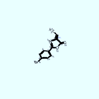 C/C=C1\N=C(c2ccc(Br)cc2)OC1=O